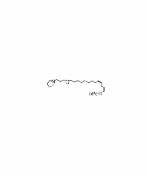 CCCCC/C=C\C/C=C\CCCCCCCCOC[CH]CN1CCCC1